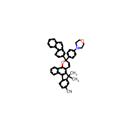 CC1(C)c2cc(C#N)ccc2-c2c1c1c(c3ccccc23)OC(c2ccc(N3CCOCC3)cc2)(c2ccc3c(ccc4ccccc43)c2)C=C1